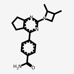 CC1CN(c2nc3c(c(-c4ccc(C(N)=O)cc4)n2)CCC3)C1C